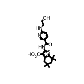 CC1(C)Cc2c(sc(NC(=O)c3ccc(NCCO)nc3)c2C(=O)O)C(C)(C)C1